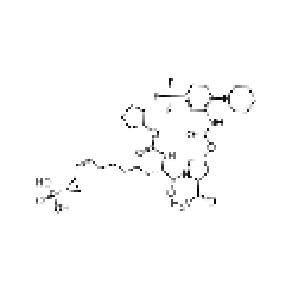 NC(=O)[C@@H]1C[C@@H](OC(=O)Nc2cc(C(F)(F)F)ccc2N2CCCCC2)CN1C(=O)[C@H](CCCCC/C=C\[C@@H]1C[C@@H]1P(=O)(O)O)NC(=O)OC1CCCC1